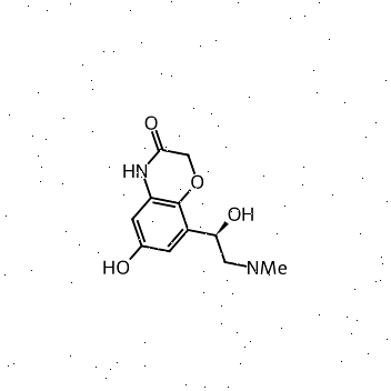 CNC[C@H](O)c1cc(O)cc2c1OCC(=O)N2